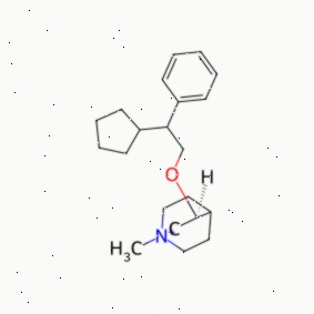 C[N+]12CCC(CC1)[C@H](OCC(c1ccccc1)C1CCCC1)C2